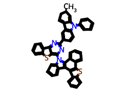 C[C@H]1C=c2c(c3cc(-c4nc(-n5c6ccccc6c6c7c8ccccc8sc7c7ccccc7c65)c5sc6ccccc6c5n4)ccc3n2-c2ccccc2)=CC1